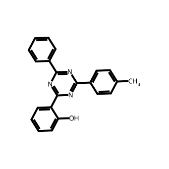 Cc1ccc(-c2nc(-c3ccccc3)nc(-c3ccccc3O)n2)cc1